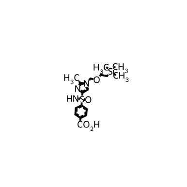 Cc1nc(S(=N)(=O)c2ccc(C(=O)O)cc2)cn1COCC[Si](C)(C)C